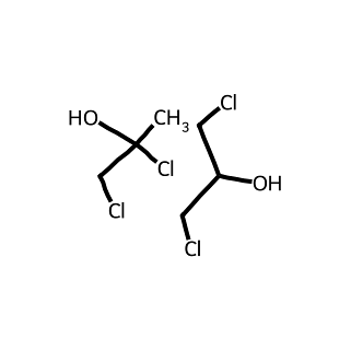 CC(O)(Cl)CCl.OC(CCl)CCl